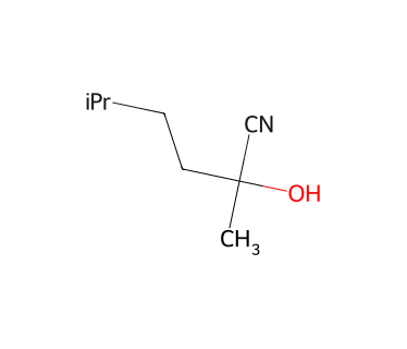 CC(C)CCC(C)(O)C#N